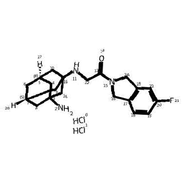 Cl.Cl.NC12C[C@H]3C[C@@H](C1)CC(NCC(=O)N1Cc4ccc(F)cc4C1)(C3)C2